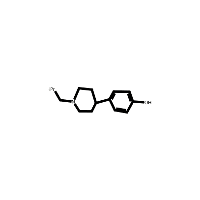 C[C](C)CN1CCC(c2ccc(O)cc2)CC1